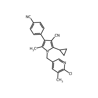 Cc1cc(Cn2c(C)c(-c3ccc(C#N)cc3)c(C#N)c2C2CC2)cnc1Cl